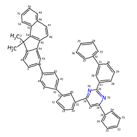 CC1(C)c2ccc(-c3ccc(-c4cccc(-c5cc(-c6ccccc6)nc(-c6cccc(-c7ccccc7)c6)n5)c4)cc3)cc2-c2ccc3ccccc3c21